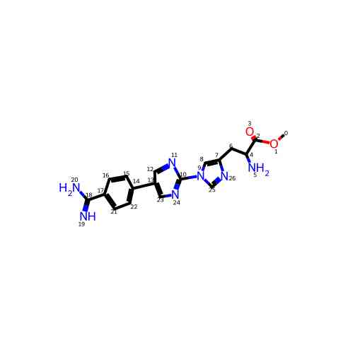 COC(=O)C(N)Cc1cn(-c2ncc(-c3ccc(C(=N)N)cc3)cn2)cn1